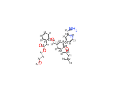 COCCCOC(=O)Cc1ccccc1OCc1cc(-c2ccnc(CN)c2)c2oc(CC(C)C)cc2c1